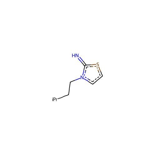 CC(C)CCn1ccsc1=N